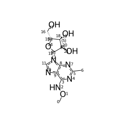 CONc1nc(C)nc2c1ncn2[C@@H]1O[C@H](CO)[C@@H](O)[C@H]1O